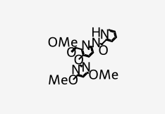 COC(=O)c1nc(NC(=O)c2ccccn2)ccc1Oc1nc(OC)cc(OC)n1